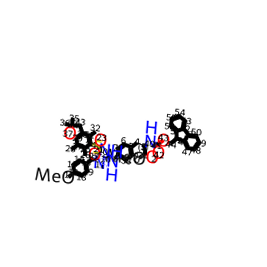 COC(=O)[C@H](Cc1ccc(N/C(=N/Cc2ccc(OC)cc2)NS(=O)(=O)c2c(C)c(C)c3c(c2C)CC(C)(C)O3)cc1)NC(=O)OCC1c2ccccc2-c2ccccc21